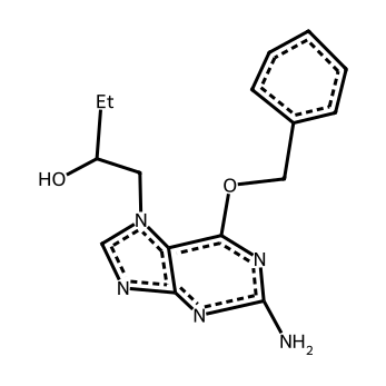 CCC(O)Cn1cnc2nc(N)nc(OCc3ccccc3)c21